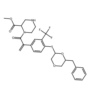 C=C(C(=O)N1CCNCC1C(=O)OC)c1ccc(SC2COCC(Cc3ccccc3)O2)c(C(F)(F)F)c1